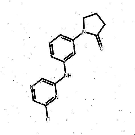 O=C1CCCN1c1cccc(Nc2cncc(Cl)n2)c1